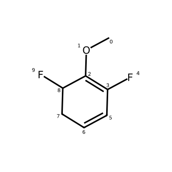 COC1=C(F)C=CCC1F